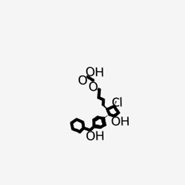 O=C(O)COCCCC[C@@H]1[C@@H](c2ccc(C(O)C3CCCCC3)cc2)[C@H](O)C[C@H]1Cl